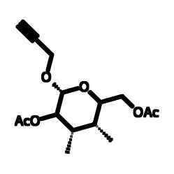 C#CCO[C@@H]1OC(COC(C)=O)[C@H](C)[C@H](C)C1OC(C)=O